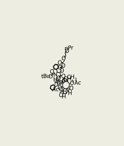 CCCOCCOCC(=O)OC(=O)O[C@@H](C(=O)O[C@H]1C[C@@]2(O)[C@@H](OC(=O)c3ccccc3)[C@@H]3[C@]4(OC(C)=O)CO[C@@H]4C[C@@H]4C[C@@]43C(=O)[C@H](OC(C)=O)C(=C1C)C2(C)C)[C@@H](NC(=O)OC(C)(C)C)c1ccccc1